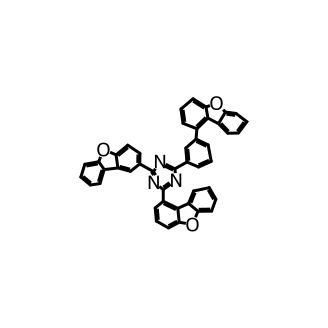 c1cc(-c2nc(-c3ccc4oc5ccccc5c4c3)nc(-c3cccc4oc5ccccc5c34)n2)cc(-c2cccc3oc4ccccc4c23)c1